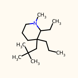 CCCC1(CC(C)(C)C)CCCN(C)C1CC